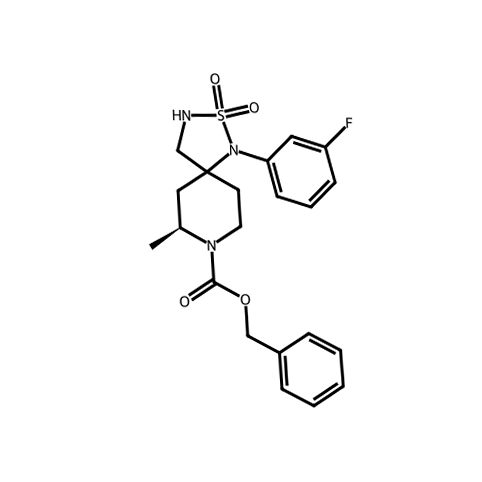 C[C@H]1CC2(CCN1C(=O)OCc1ccccc1)CNS(=O)(=O)N2c1cccc(F)c1